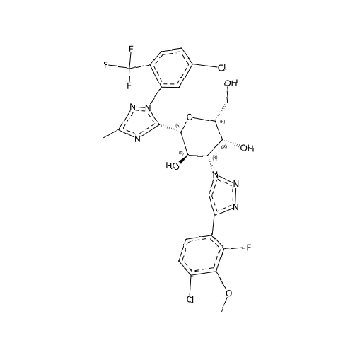 COc1c(Cl)ccc(-c2cn([C@H]3[C@@H](O)[C@@H](CO)O[C@@H](c4nc(C)nn4-c4cc(Cl)ccc4C(F)(F)F)[C@@H]3O)nn2)c1F